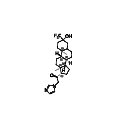 C[C@]12CC[C@H]3[C@@H](CCC4CC(O)(C(F)(F)F)CC[C@@]43C)[C@@H]1CC[C@@H]2C(=O)Cn1ccnc1